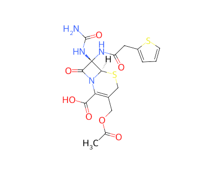 CC(=O)OCC1=C(C(=O)O)N2C(=O)[C@](NC(N)=O)(NC(=O)Cc3cccs3)[C@H]2SC1